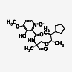 COc1cc[n+]([O-])c(C(=O)N[C@](C)(C=O)CO[C@@H](C)[C@@H](C)C2CCCC2)c1O